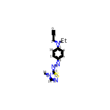 C#CCN(CC)c1ccc(/N=N/c2snc[n+]2C)cc1